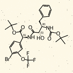 CC(C)(C)OC(=O)N[C@H](Cc1ccccc1)[C@H](O)C(=O)N[C@H](C(=O)OC(C)(C)C)c1ccc(Br)c(OC(F)(F)F)c1